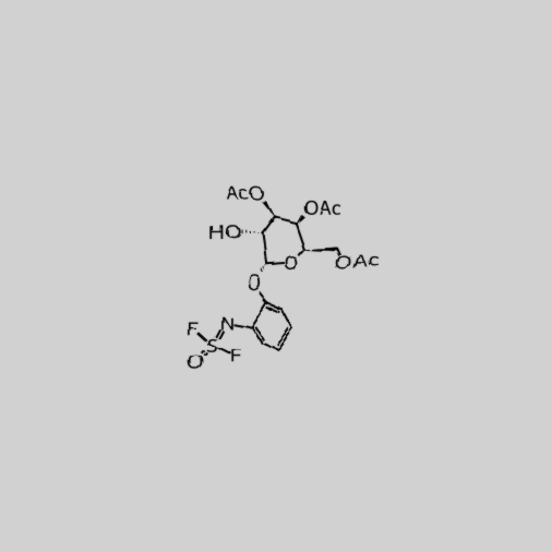 CC(=O)OC[C@H]1O[C@H](Oc2ccccc2N=S(=O)(F)F)[C@H](O)[C@@H](OC(C)=O)[C@H]1OC(C)=O